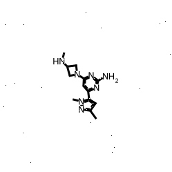 CNC1CN(c2cc(-c3cc(C)nn3C)nc(N)n2)C1